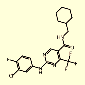 O=C(NCC1CCCCC1)c1cnc(Nc2ccc(F)c(Cl)c2)nc1C(F)(F)F